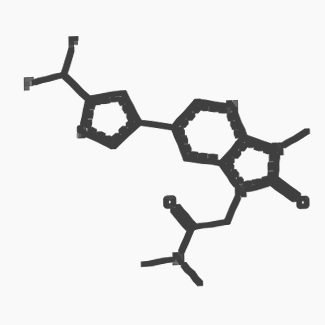 CN(C)C(=O)Cn1c(=O)n(C)c2ncc(-c3csc(C(F)F)c3)cc21